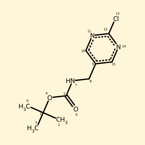 CC(C)(C)OC(=O)NCc1cnc(Cl)nc1